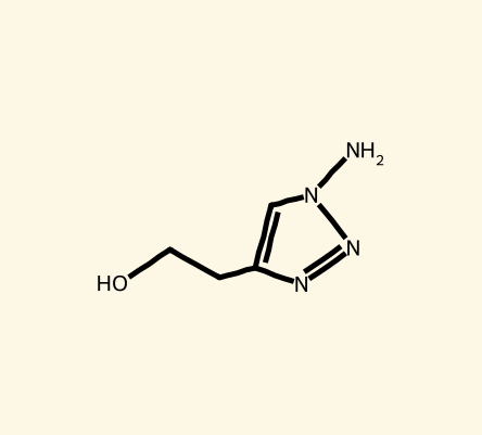 Nn1cc(CCO)nn1